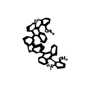 Cc1cccc(C)c1-c1c2c(c(-c3cccc4sc5cc(-c6c7ccccc7c(-c7c(C)cccc7C)c7ccccc67)ccc5c34)c3ccccc13)C=CCC2